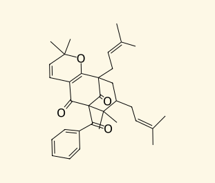 CC(C)=CCC1CC2(CC=C(C)C)C(=O)C(C(=O)c3ccccc3)(C(=O)C3=C2OC(C)(C)C=C3)C1(C)C